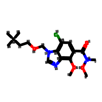 COc1c(C(=O)N(C)OC)cc(Cl)c2c1ncn2COCC[Si](C)(C)C